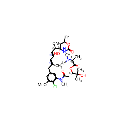 COc1cc(C/C(C)=C/C=C/[C@@H](OC)[C@@]2(O)CC(C(C)C)OC(=O)N2)cc(N(C)C(=O)C[C@H](OC(=O)[C@H](C)N(C)C(C)=O)C(C)(C)O)c1Cl